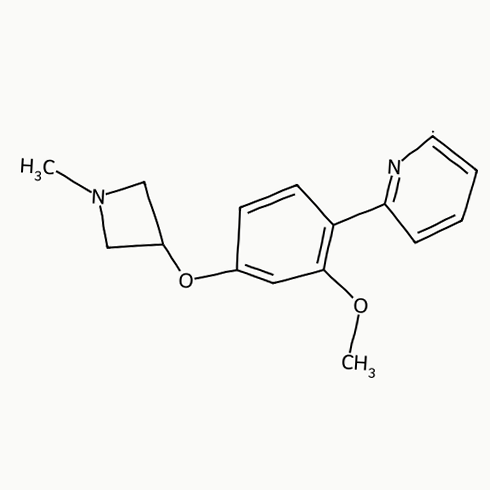 COc1cc(OC2CN(C)C2)ccc1-c1ccc[c]n1